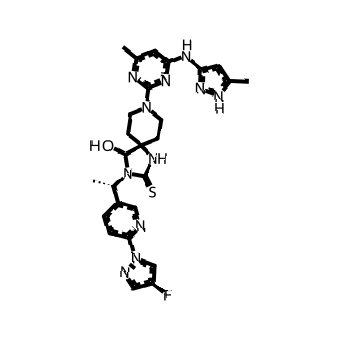 Cc1cc(Nc2cc(C)[nH]n2)nc(N2CCC3(CC2)NC(=S)N([C@@H](C)c2ccc(-n4cc(F)cn4)nc2)C3O)n1